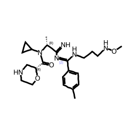 CONCCCN/C(=N\C(=N)[C@@H](C)N(C(=O)[C@H]1CNCCO1)C1CC1)c1ccc(C)cc1